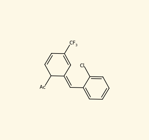 CC(=O)C1C=CC(C(F)(F)F)=C/C1=C\c1ccccc1Cl